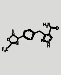 CN1OC(C(F)(F)F)=NC1c1ccc(Cc2n[nH]cc2C(N)=O)cc1